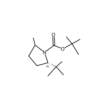 CC1CC[C@@H](C(C)(C)C)N1C(=O)OC(C)(C)C